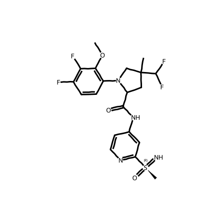 COc1c(N2CC(C)(C(F)F)CC2C(=O)Nc2ccnc([S@](C)(=N)=O)c2)ccc(F)c1F